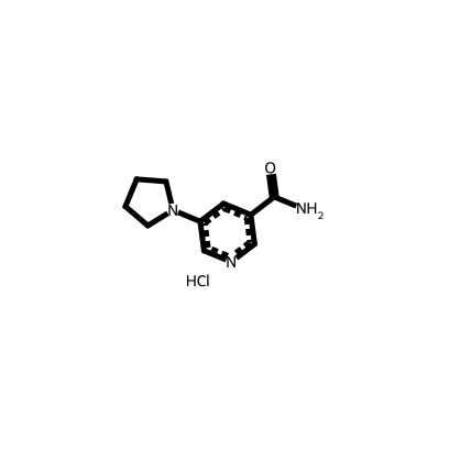 Cl.NC(=O)c1cncc(N2CCCC2)c1